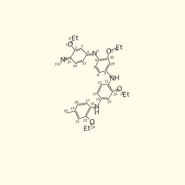 CCOC1=CC(=Nc2ccc(Nc3ccc(Nc4ccc(C)cc4OCC)cc3OCC)cc2OCC)C=CC1=NC